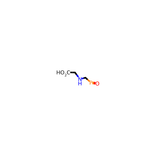 O=PCNCC(=O)O